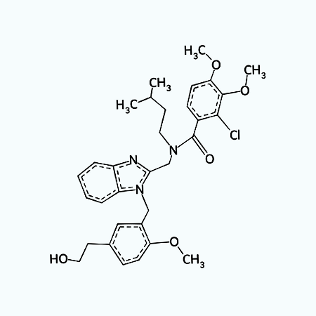 COc1ccc(CCO)cc1Cn1c(CN(CCC(C)C)C(=O)c2ccc(OC)c(OC)c2Cl)nc2ccccc21